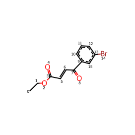 CCOC(=O)C=CC(=O)c1cccc(Br)c1